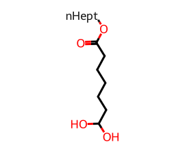 CCCCCCCOC(=O)CCCCCC(O)O